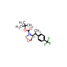 C[C@@H](c1ccc(C(F)(F)F)cc1)[C@H]1COSN1C(=O)OC(C)(C)C